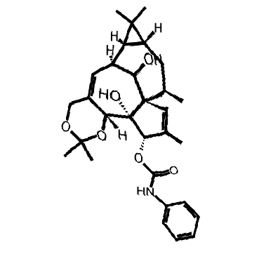 CC1=C[C@]23C(O)[C@@H](C=C4COC(C)(C)O[C@H]4[C@]2(O)[C@H]1OC(=O)Nc1ccccc1)[C@H]1[C@@H](C[C@H]3C)C1(C)C